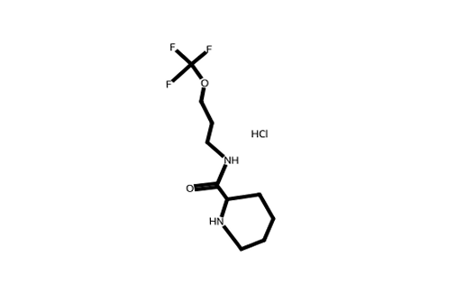 Cl.O=C(NCCCOC(F)(F)F)C1CCCCN1